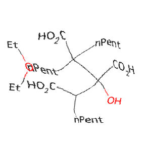 CCCCCC(C(=O)O)C(O)(C(=O)O)C(CCCCC)(CCCCC)C(=O)O.CCOCC